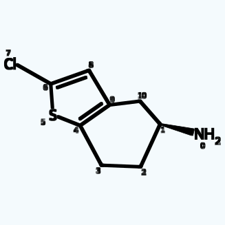 N[C@H]1CCc2sc(Cl)cc2C1